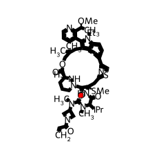 C=CC(=O)N1CC(N(C)C(=O)N(C)C(C(=O)N[C@@]2(SC)Cc3nc(cs3)-c3ccc4c(c3)c(c(-c3cccnc3[C@H](C)OC)n4CC)CC(C)(C)COC(=O)[C@@]3(S)CCCN(N3)C2=O)C(C)C)C1